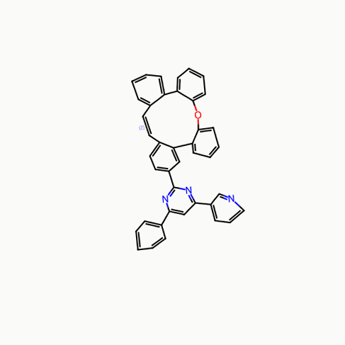 C1=C\c2ccc(-c3nc(-c4ccccc4)cc(-c4cccnc4)n3)cc2-c2ccccc2Oc2ccccc2-c2ccccc2/1